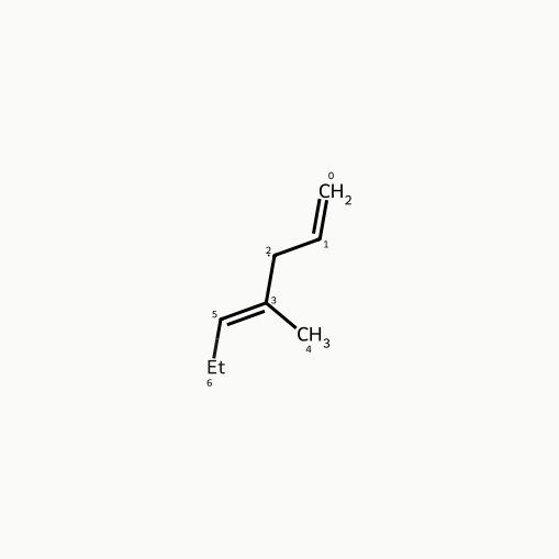 C=C[CH]/C(C)=C/CC